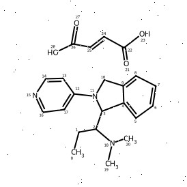 CCC(C1c2ccccc2CN1c1ccncc1)N(C)C.O=C(O)C=CC(=O)O